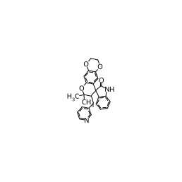 CC1(C)Oc2cc3c(cc2C2(C(=O)Nc4ccccc42)C1Cc1cccnc1)OCCO3